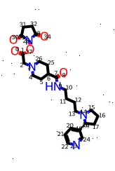 O=C(CN1CCC(C(=O)NCCCCN2CCC[C@H]2c2cccnc2)CC1)ON1C(=O)CCC1=O